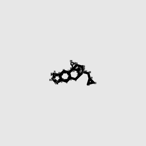 C[C@H]1C2Cc3cc4nn[nH]c4cc3[C@@]1(C)CCN2CC1CC1